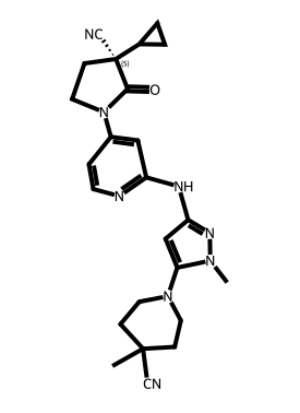 Cn1nc(Nc2cc(N3CC[C@@](C#N)(C4CC4)C3=O)ccn2)cc1N1CCC(C)(C#N)CC1